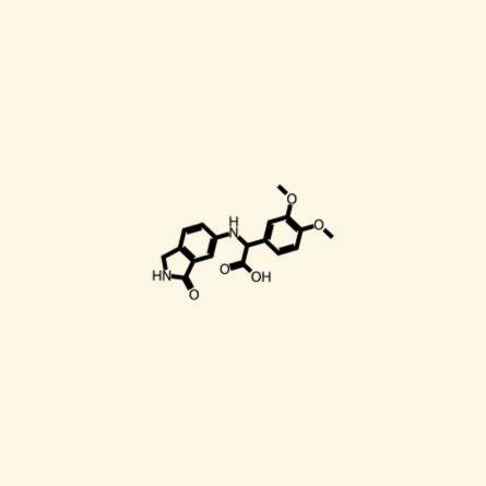 COc1ccc(C(Nc2ccc3c(c2)C(=O)NC3)C(=O)O)cc1OC